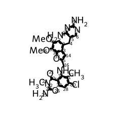 COc1cc(Cc2cnc(N)nc2N)c2cc(CNc3c(C(=O)N(C)C(N)=O)ccc(Cl)c3C)oc2c1OC